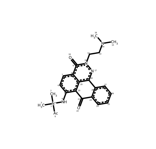 CC(=O)[N+](C)(C)Nc1ccc2c(=O)n(CCN(C)C)nc3c2c1C(=O)c1ccccc1-3